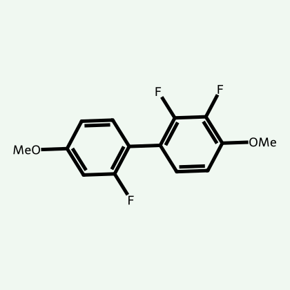 COc1ccc(-c2ccc(OC)c(F)c2F)c(F)c1